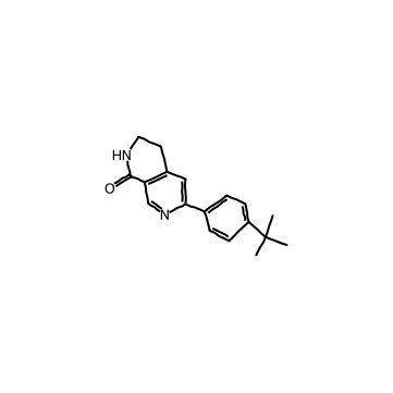 CC(C)(C)c1ccc(-c2cc3c(cn2)C(=O)NCC3)cc1